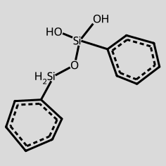 O[Si](O)(O[SiH2]c1ccccc1)c1ccccc1